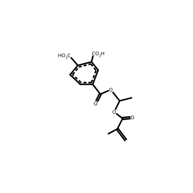 C=C(C)C(=O)OC(C)OC(=O)c1ccc(C(=O)O)c(C(=O)O)c1